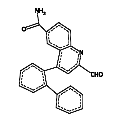 NC(=O)c1ccc2nc(C=O)cc(-c3ccccc3-c3ccccc3)c2c1